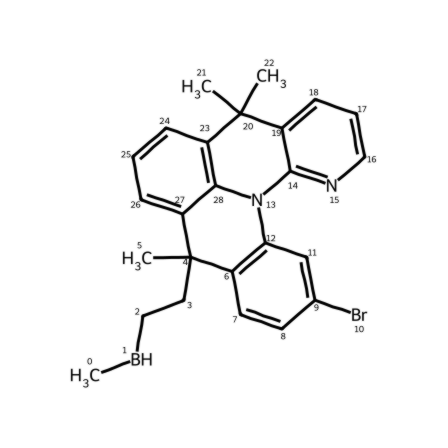 CBCCC1(C)c2ccc(Br)cc2N2c3ncccc3C(C)(C)c3cccc1c32